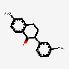 COc1cccc(C2CCc3cc(OC)ccc3C2=O)c1